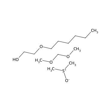 CCCCCCOCCO.COCOC.C[S+](C)[O-]